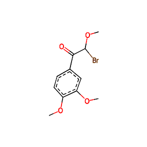 COc1ccc(C(=O)C(Br)OC)cc1OC